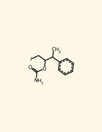 CC(c1ccccc1)C(CI)OC(N)=O